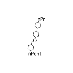 CCCCCC1CCC(COC2C=CC(C3CCC(CCC)CC3)CC2)CC1